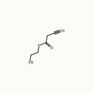 C#CCC(=O)OCCC#N